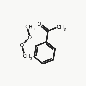 CC(=O)c1ccccc1.COOC